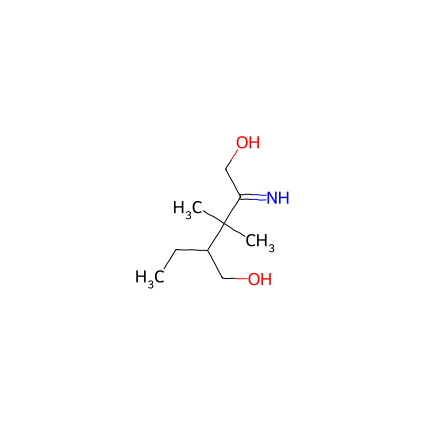 CCC(CO)C(C)(C)C(=N)CO